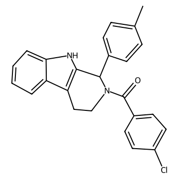 Cc1ccc(C2c3[nH]c4ccccc4c3CCN2C(=O)c2ccc(Cl)cc2)cc1